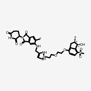 CS(=O)(=O)c1ccc(OCCOCCN2NC=C(CNc3cc4c(cc3F)C(=O)N(C3CCC(=O)NC3=O)C4=O)N2)c2c1[C@H](O)[C@H](F)C2